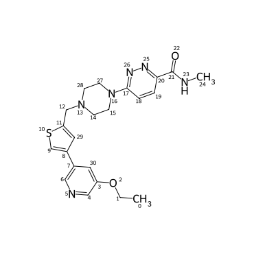 CCOc1cncc(-c2csc(CN3CCN(c4ccc(C(=O)NC)nn4)CC3)c2)c1